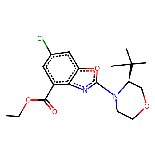 CCOC(=O)c1cc(Cl)cc2oc(N3CCOC[C@@H]3C(C)(C)C)nc12